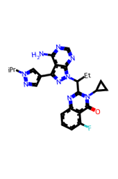 CCC(c1nc2cccc(F)c2c(=O)n1C1CC1)n1nc(-c2cnn(C(C)C)c2)c2c(N)ncnc21